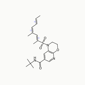 C/C=C/C=C(C)\C=C(/C)S(=O)(=O)N1CCOc2ncc(C(=O)NC(C)(C)C)cc21